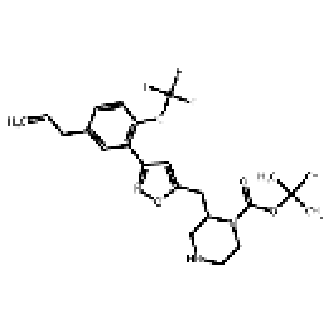 C=CCc1ccc(OC(F)(F)F)c(-c2cc(CC3CNCCN3C(=O)OC(C)(C)C)on2)c1